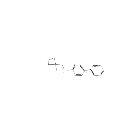 CC1(C[S+]([O-])c2ccc(-c3ccccc3)cc2)CCC1